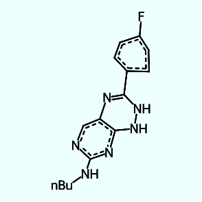 CCCCNc1ncc2c(n1)NNC(c1ccc(F)cc1)=N2